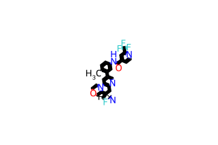 Cc1ccc(NC(=O)c2ccnc(C(F)(F)F)c2)cc1-c1cnc2c(c1)N1CCOC[C@H]1[C@](C#N)(CF)C2